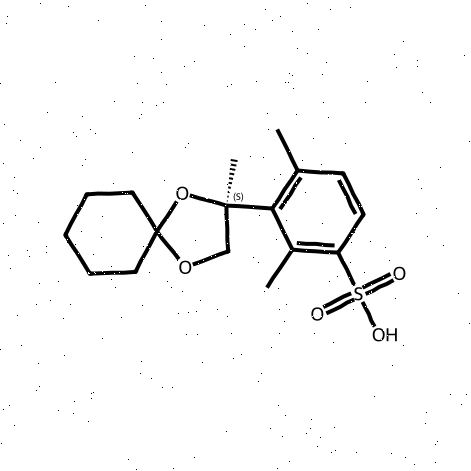 Cc1ccc(S(=O)(=O)O)c(C)c1[C@@]1(C)COC2(CCCCC2)O1